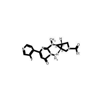 CCC(=O)N1C[C@@H]2[C@H](C1)[C@H]2N(C)c1nc(-c2ccncc2F)cc(=O)n1C